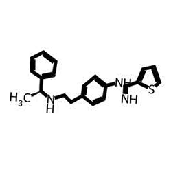 C[C@H](NCCc1ccc(NC(=N)c2cccs2)cc1)c1ccccc1